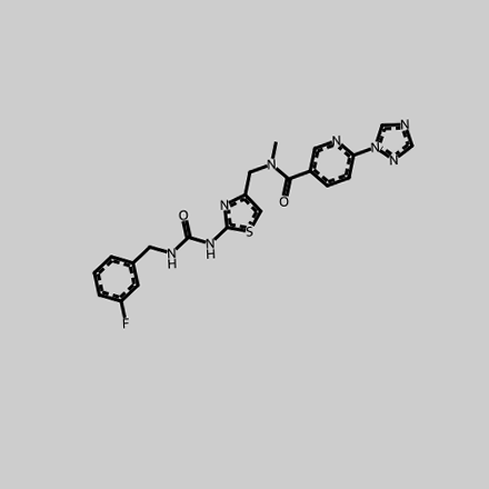 CN(Cc1csc(NC(=O)NCc2cccc(F)c2)n1)C(=O)c1ccc(-n2cncn2)nc1